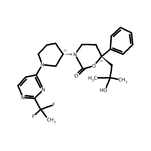 CC(C)(O)C[C@]1(c2ccccc2)CCN([C@H]2CCCN(c3ccnc(C(C)(F)F)n3)C2)C(=O)O1